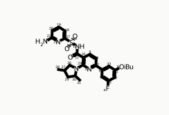 CC(C)COc1cc(F)cc(-c2ccc(C(=O)NS(=O)(=O)c3cccc(N)n3)c(N3CC(C)CC3C)n2)c1